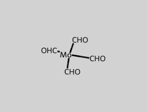 O=[CH][Mo]([CH]=O)([CH]=O)[CH]=O